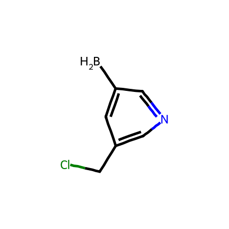 Bc1cncc(CCl)c1